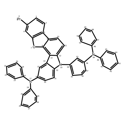 CC(C)c1ccc2c(c1)oc1c2ccc2c1c1cc(N(c3ccccc3)c3ccccc3)ccc1n2-c1cccc(N(c2ccccc2)c2ccccc2)c1